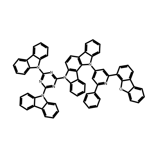 c1ccc(-c2cc(-n3c4ccccc4c4ccc5c(c6ccccc6n5-c5nc(-n6c7ccccc7c7ccccc76)nc(-n6c7ccccc7c7ccccc76)n5)c43)cc(-c3cccc4c3oc3ccccc34)n2)cc1